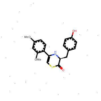 COc1ccc(C2=CSC(=O)[C@H](Cc3ccc(O)cc3)N2)c(OC)c1